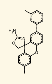 Cc1cccc(-c2ccc3c(c2)C2(COC(N)=N2)c2ccc(C)cc2O3)c1